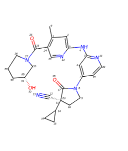 Cc1cc(Nc2cc(N3CC[C@@](C#N)(C4CC4)C3=O)ccn2)ncc1C(=O)N1CCC[C@@H](O)C1